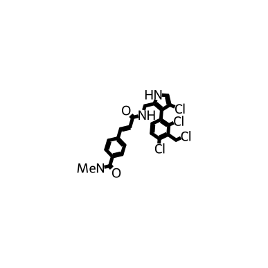 CNC(=O)c1ccc(C=CC(=O)NCc2[nH]cc(Cl)c2-c2ccc(Cl)c(CCl)c2Cl)cc1